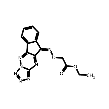 CCOC(=O)CON=C1c2ccccc2-c2nn3nnnc3nc21